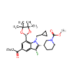 COC(=O)c1cc(B2OC(C)(C)C(C)(C)O2)c2c(c1)c(F)c([C@H]1CCCN(C(=O)OC(C)(C)C)C1)n2CC1CC1